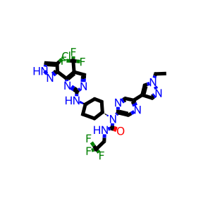 CCn1cc(-c2cnc(N(C(=O)NCC(F)(F)F)[C@H]3CC[C@H](Nc4ncc(C(F)(F)F)c(-c5n[nH]cc5Cl)n4)CC3)cn2)cn1